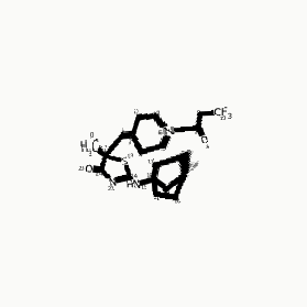 CC1(CC2CCN(C(=O)CC(F)(F)F)CC2)SC(NC23CCC(CC2)C3)=NC1=O